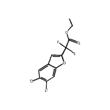 CCOC(=O)C(F)(F)c1cc2cc(Cl)c(Cl)cc2o1